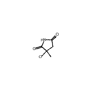 CC1(Cl)CC(=O)NC1=O